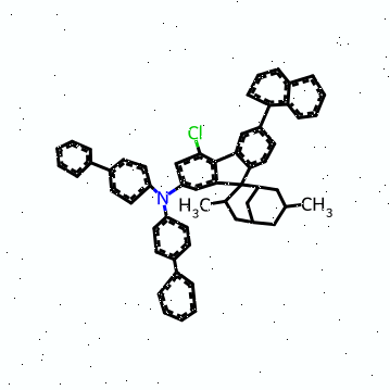 CC1CC2CC(C)C3(c4ccc(-c5cccc6ccccc56)cc4-c4c(Cl)cc(N(c5ccc(-c6ccccc6)cc5)c5ccc(-c6ccccc6)cc5)cc43)C(C1)C2